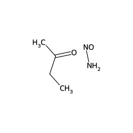 CCC(C)=O.NN=O